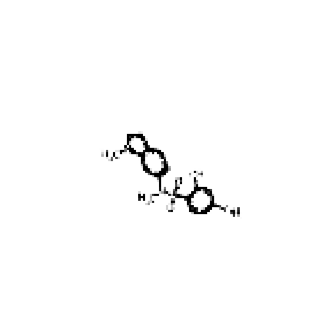 CN(c1ccc2ccn(C)c2c1)S(=O)(=O)c1ccc(O)cc1O